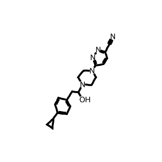 N#Cc1ccc(N2CCN(C(O)Cc3ccc(C4CC4)cc3)CC2)nn1